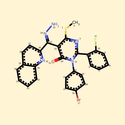 CSc1nc(-c2ccccc2F)n(-c2ccc(Br)cc2)c(=O)c1/C(=N\N)c1ccc2ccccc2n1